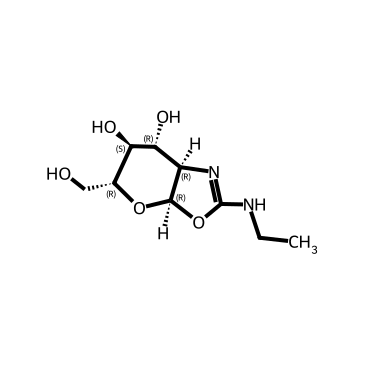 CCNC1=N[C@H]2[C@@H](O1)O[C@H](CO)[C@@H](O)[C@@H]2O